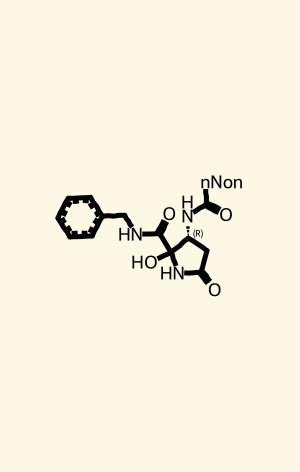 CCCCCCCCCC(=O)N[C@@H]1CC(=O)NC1(O)C(=O)NCc1ccccc1